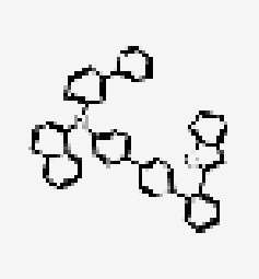 c1ccc(-c2cccc(N(c3ccc(-c4ccc(-c5ccccc5-c5cc6ccccc6o5)cc4)cc3)c3cccc4ccccc34)c2)cc1